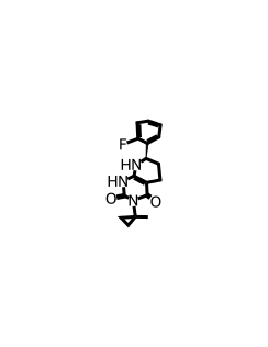 CC1(n2c(=O)[nH]c3c(c2=O)CC[C@H](c2ccccc2F)N3)CC1